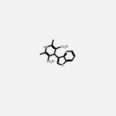 CCOC(=O)C1=C(C)NC(C)=C(C(=O)OCC)C1c1csc2cccnc12